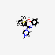 CN1CCN(C2=Nc3ccccc3Oc3sccc32)CC1.O=C(O)C=CC(=O)O